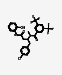 CN(C(=O)c1cc(C(F)(F)F)cc(C(F)(F)F)c1)C(CC(=O)Nc1ccccc1O)Cc1ccc(Cl)cc1